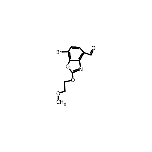 COCCOc1nc2c(C=O)ccc(Br)c2o1